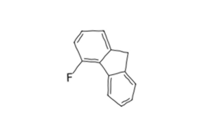 Fc1cccc2c1-c1ccccc1C2